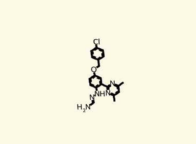 Cc1cc(C)nc(-c2cc(OCc3ccc(Cl)cc3)ccc2NN=CN)n1